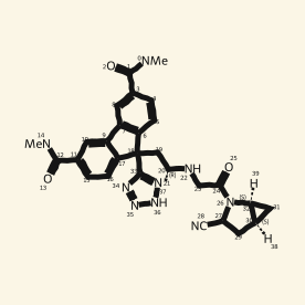 CNC(=O)c1ccc2c(c1)-c1cc(C(=O)NC)ccc1C2(C[C@@H](C)NCC(=O)N1C(C#N)C[C@@H]2C[C@@H]21)c1nn[nH]n1